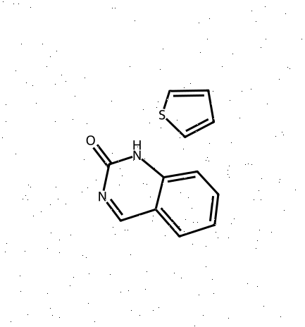 O=c1ncc2ccccc2[nH]1.c1ccsc1